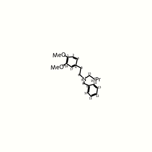 COc1ccc(CCN(Cc2ccccc2)CC(C)C)cc1OC